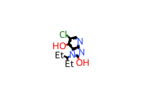 CCC(CC)n1c(O)nc2ncc(Cl)c(O)c21